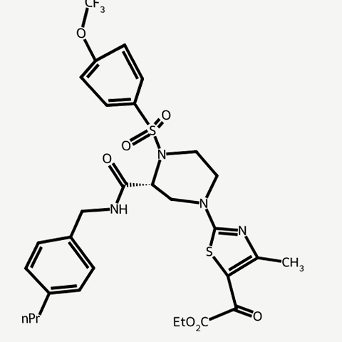 CCCc1ccc(CNC(=O)[C@H]2CN(c3nc(C)c(C(=O)C(=O)OCC)s3)CCN2S(=O)(=O)c2ccc(OC(F)(F)F)cc2)cc1